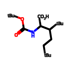 CC(C)(C)CCC(C(NC(=O)OC(C)(C)C)C(=O)O)C(C)(C)C